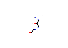 CN(C)CC(O)CN(C)CCO